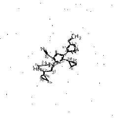 C=Cc1cnnc(-c2cc(C#N)c(N3CCNC(C4CC4)C3)nc2C2CC2)c1